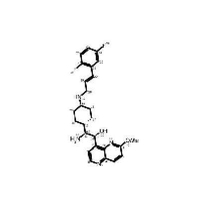 COc1ccc2nccc([C@H](O)[C@@H](N)[C@H]3CC[C@H](NCC=Cc4cc(F)ccc4F)CC3)c2n1